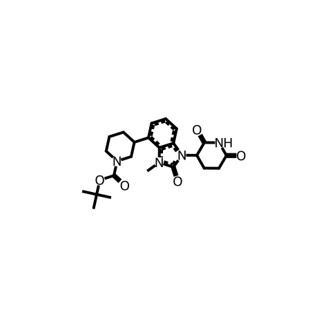 Cn1c(=O)n(C2CCC(=O)NC2=O)c2cccc(C3CCCN(C(=O)OC(C)(C)C)C3)c21